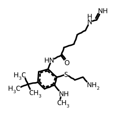 CNc1cc(C(C)(C)C)cc(NC(=O)CCCCNC=N)c1SCCN